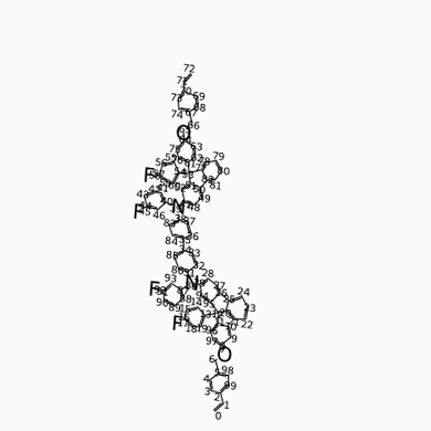 C=Cc1ccc(COc2ccc(C3(c4ccc(F)cc4)c4ccccc4-c4ccc(N(c5ccc(-c6ccc(N(c7cccc(F)c7)c7ccc8c(c7)C(c7ccc(F)cc7)(c7ccc(OCc9ccc(C=C)cc9)cc7)c7ccccc7-8)cc6)cc5)c5cccc(F)c5)cc43)cc2)cc1